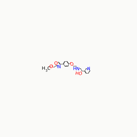 COCc1nc(-c2ccc(OCCNC[C@H](O)c3cccnc3)cc2)co1